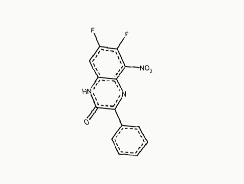 O=c1[nH]c2cc(F)c(F)c([N+](=O)[O-])c2nc1-c1ccccc1